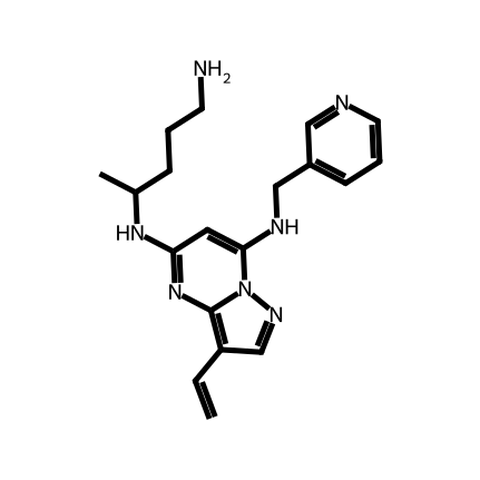 C=Cc1cnn2c(NCc3cccnc3)cc(NC(C)CCCN)nc12